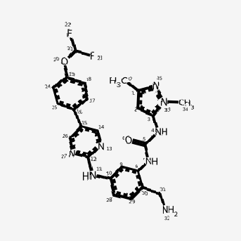 Cc1cc(NC(=O)Nc2cc(Nc3ncc(-c4ccc(OC(F)F)cc4)cn3)ccc2CN)n(C)n1